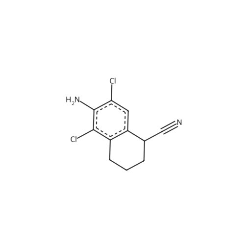 N#CC1CCCc2c1cc(Cl)c(N)c2Cl